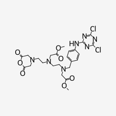 COC(=O)CN(CCN1CC(=O)OC(=O)C1)CCN(CC(=O)OC)Cc1ccc(Nc2nc(Cl)nc(Cl)n2)cc1